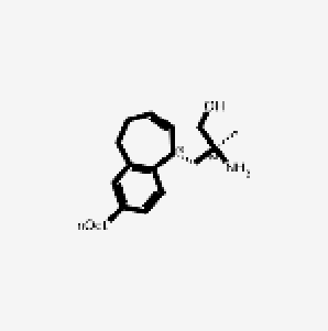 CCCCCCCCc1ccc2c(c1)CCC=C[C@@H]2C[C@](C)(N)CO